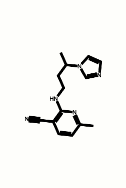 Cc1ccc(C#N)c(NCCC(C)n2ccnc2)n1